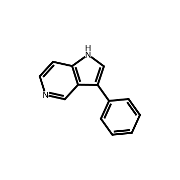 c1ccc(-c2c[nH]c3ccncc23)cc1